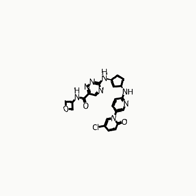 O=C(NC1COC1)c1cnc(N[C@H]2CC[C@H](Nc3ccc(-n4cc(Cl)ccc4=O)cn3)C2)nn1